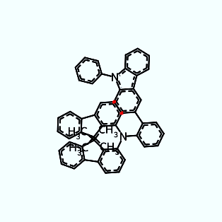 CC1(C)c2ccccc2-c2cccc(N(c3ccccc3-c3ccc4c(c3)c3ccccc3n4-c3ccccc3)c3cccc4c3C(C)(C)c3ccccc3-4)c21